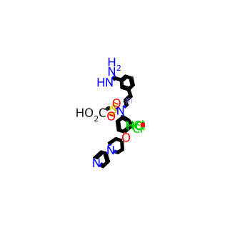 Cl.Cl.N=C(N)c1cccc(/C=C/CN(c2ccc(OC3CCN(c4ccncc4)CC3)c(Cl)c2)S(=O)(=O)CC(=O)O)c1